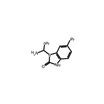 CCCC(N)n1c(=O)[nH]c2ccc(C(C)C)cc21